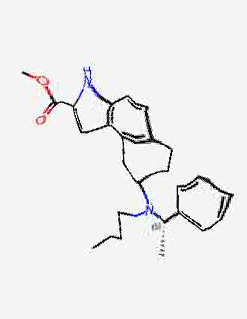 CCCN(C1CCc2ccc3[nH]c(C(=O)OC)cc3c2C1)[C@@H](C)c1ccccc1